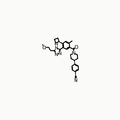 COCCc1nnc(-c2cc(C(=O)N3CCC(c4ccc(C#N)cc4)CC3)c(C)cc2C2CCC2)[nH]1